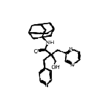 O=C(NC12CC3CC(CC(C3)C1)C2)C(CO)(Cc1ccncc1)Cc1cnccn1